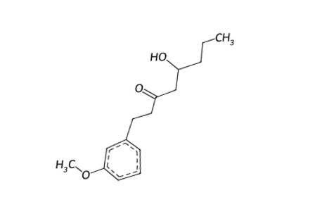 CCCC(O)CC(=O)CCc1cccc(OC)c1